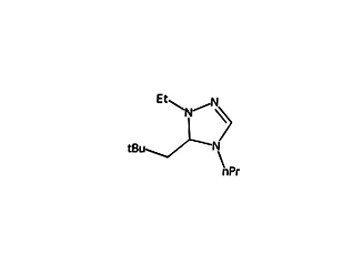 CCCN1C=NN(CC)C1CC(C)(C)C